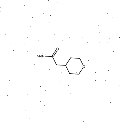 CNC(=O)CC1CCOCC1